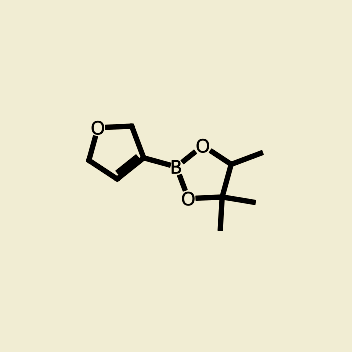 CC1OB(C2=CCOC2)OC1(C)C